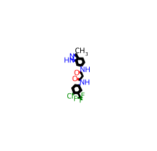 Cc1n[nH]c2cc(NC(=O)CC(=O)Nc3ccc(Cl)c(C(F)(F)F)c3)ccc12